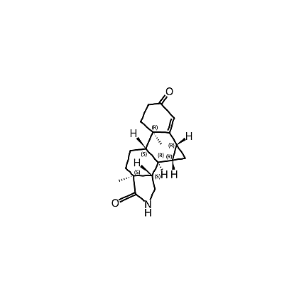 C[C@]12CCC(=O)C=C1[C@@H]1C[C@@H]1[C@@H]1[C@@H]2CC[C@]2(C)C(=O)NC[C@@H]12